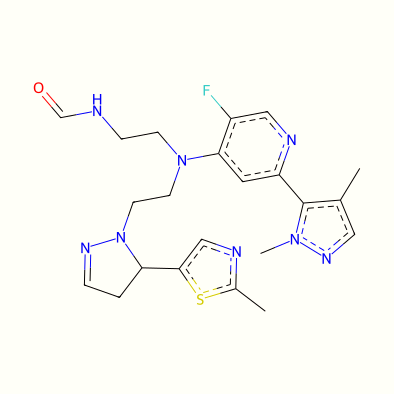 Cc1ncc(C2CC=NN2CCN(CCNC=O)c2cc(-c3c(C)cnn3C)ncc2F)s1